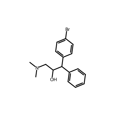 CN(C)CC(O)C(c1ccccc1)c1ccc(Br)cc1